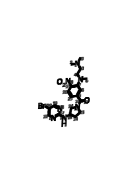 CN(C)CCN(C)c1cc(C(=O)N2CC[C@@H](Nc3ncc(Br)cn3)C2)ccc1[N+](=O)[O-]